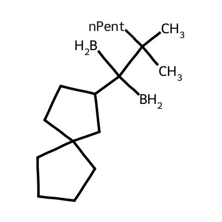 BC(B)(C1CCC2(CCCC2)C1)C(C)(C)CCCCC